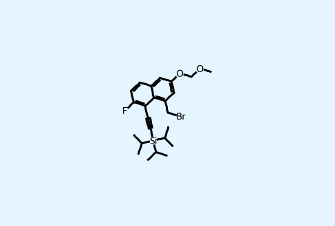 COCOc1cc(CBr)c2c(C#C[Si](C(C)C)(C(C)C)C(C)C)c(F)ccc2c1